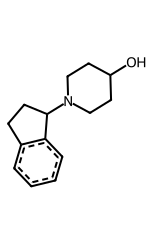 OC1CCN(C2CCc3ccccc32)CC1